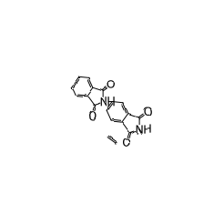 C=C.O=C1NC(=O)c2ccccc21.O=C1NC(=O)c2ccccc21